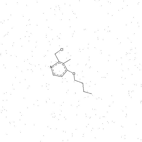 CCCCOc1ccnc(CCl)c1C